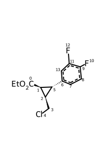 CCOC(=O)[C@@H]1[C@H](CCl)[C@H]1c1ccc(F)c(F)c1